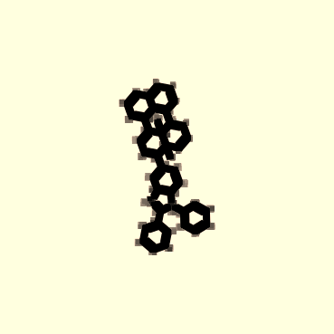 CC12C=CC=C3c4cccc5cccc(c45)C(=CC=C1c1ccc4c(c1)nc(-c1ccccc1)n4-c1ccccc1)C32C